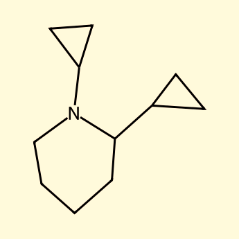 C1CCN(C2CC2)C(C2CC2)C1